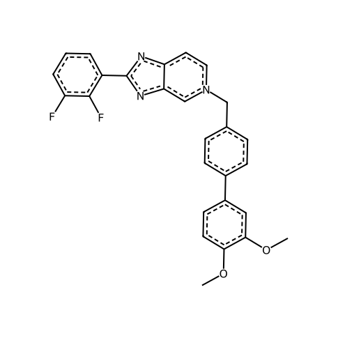 COc1ccc(-c2ccc(Cn3ccc4nc(-c5cccc(F)c5F)nc-4c3)cc2)cc1OC